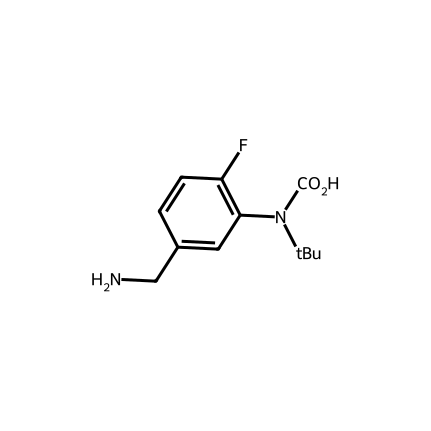 CC(C)(C)N(C(=O)O)c1cc(CN)ccc1F